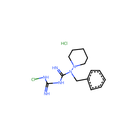 Cl.N=C(NCl)NC(=N)N(Cc1ccccc1)N1CCCCC1